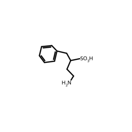 NCCC(Cc1ccccc1)S(=O)(=O)O